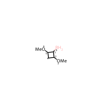 BC1C(OC)CC1OC